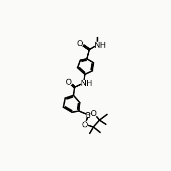 CNC(=O)c1ccc(NC(=O)c2cccc(B3OC(C)(C)C(C)(C)O3)c2)cc1